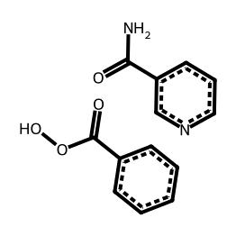 NC(=O)c1cccnc1.O=C(OO)c1ccccc1